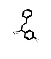 N#CC(CCc1ccccc1)c1ccc(Cl)cc1